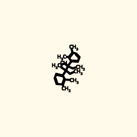 CCC(CC)(c1cccc(C)c1C)C(CC)(CC)c1cccc(C)c1C